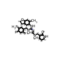 Cc1cc2c(cc1N/C(=N/CN(C)Cc1ccc[nH]c1=O)N(C=O)Cc1cc(P)c(F)cc1F)CCO2